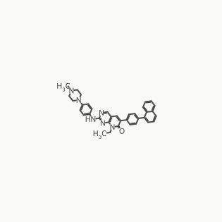 CCn1c(=O)c(-c2ccc(-c3cccc4ccccc34)cc2)cc2cnc(Nc3ccc(N4CCN(C)CC4)cc3)nc21